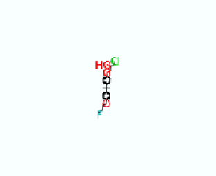 CC(C)(c1ccc(OCCCF)cc1)c1ccc(OCC(O)CCl)cc1